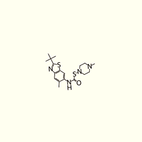 Cc1cc2nc(C(C)(C)C)sc2cc1NC(=O)SN1CCN(C)CC1